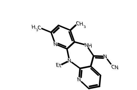 CCN1c2ncccc2/C(=N\C#N)Nc2c(C)cc(C)nc21